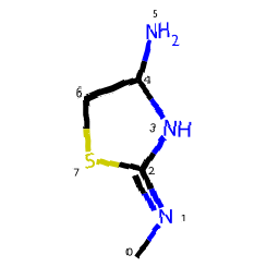 C/N=C1/NC(N)CS1